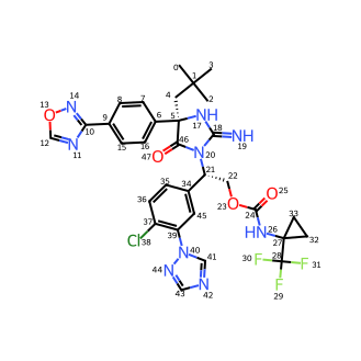 CC(C)(C)C[C@]1(c2ccc(-c3ncon3)cc2)NC(=N)N([C@H](COC(=O)NC2(C(F)(F)F)CC2)c2ccc(Cl)c(-n3cncn3)c2)C1=O